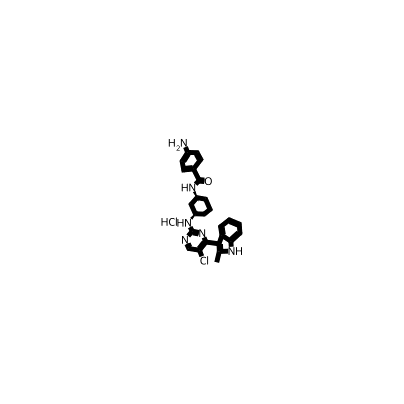 Cc1[nH]c2ccccc2c1-c1nc(N[C@@H]2CCC[C@H](NC(=O)c3ccc(N)cc3)C2)ncc1Cl.Cl